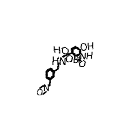 O=c1[nH]c2c(O)ccc(C(O)(O)CNCCc3cccc(CN4CCOCC4)c3)c2s1